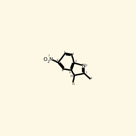 CC1=Nc2ccc([N+](=O)[O-])cc2C1C